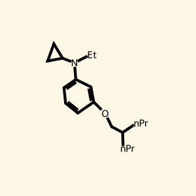 CCCC(CCC)COc1cccc(N(CC)C2CC2)c1